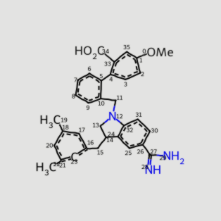 COc1ccc(-c2ccccc2CN2CC(Cc3cc(C)cc(C)c3)c3cc(C(=N)N)ccc32)c(C(=O)O)c1